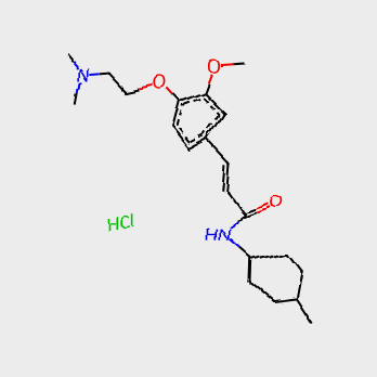 COc1cc(/C=C/C(=O)NC2CCC(C)CC2)ccc1OCCN(C)C.Cl